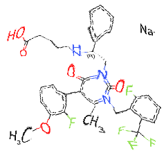 COc1cccc(-c2c(C)n(Cc3c(F)cccc3C(F)(F)F)c(=O)n(C[C@H](NCCCC(=O)O)c3ccccc3)c2=O)c1F.[Na]